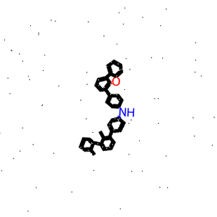 Cc1ccccc1-c1cccc(-c2ccc(Nc3ccc(-c4cccc5c4oc4ccccc45)cc3)cc2)c1C